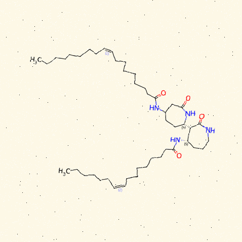 CCCCCC/C=C\CCCCCCCC(=O)N[C@H]1CCCNC(=O)C1[C@@H]1CCC(NC(=O)CCCCCCC/C=C\CCCCCCCC)CC(=O)N1